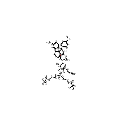 COc1ccc(C(Nc2ccn([C@@H]3O[C@](CN=[N+]=[N-])(COP(=O)(OCCSC(=O)C(C)(C)C)OCCSC(=O)C(C)(C)C)[C@@H](C)[C@H]3F)c(=O)n2)(c2ccccc2)c2ccc(OC)cc2)cc1